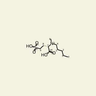 CCCCCN(C)[C@@H](CCS(=O)(=O)O)C(=O)O